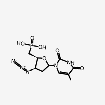 Cc1cn([C@H]2C[C@@H](N=[N+]=[N-])[C@@H](CP(=O)(O)O)O2)c(=O)[nH]c1=O